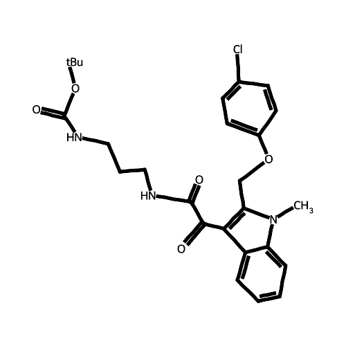 Cn1c(COc2ccc(Cl)cc2)c(C(=O)C(=O)NCCCNC(=O)OC(C)(C)C)c2ccccc21